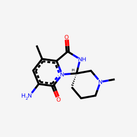 Cc1cc(N)c(=O)n2c1C(=O)N[C@]21CCCN(C)C1